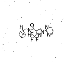 CC1(C)C2CC[C@@H](CNC(=O)c3cn(-c4ncccn4)nc3C(F)(F)F)C1C2